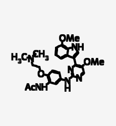 COc1cnc(Nc2ccc(OCCN(C)C)c(NC(C)=O)c2)nc1-c1c[nH]c2c(OC)cccc12